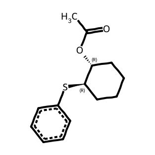 CC(=O)O[C@@H]1CCCC[C@H]1Sc1ccccc1